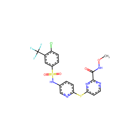 CONC(=O)c1nccc(Sc2ccc(NS(=O)(=O)c3ccc(Cl)c(C(F)(F)F)c3)cn2)n1